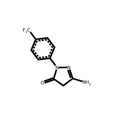 NC1=NN(c2ccc(C(F)(F)F)cc2)C(=O)C1